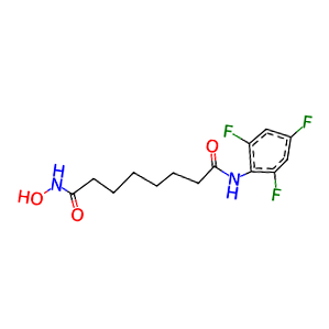 O=C(CCCCCCC(=O)Nc1c(F)cc(F)cc1F)NO